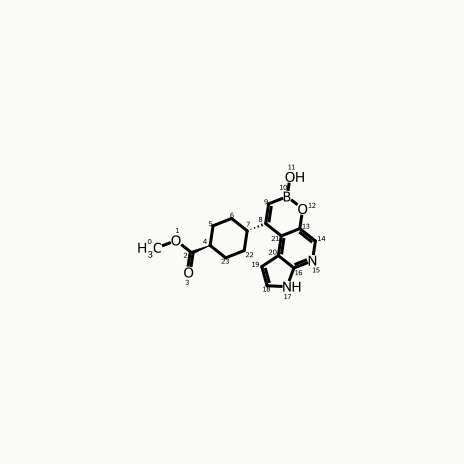 COC(=O)[C@H]1CC[C@H](C2=CB(O)Oc3cnc4[nH]ccc4c32)CC1